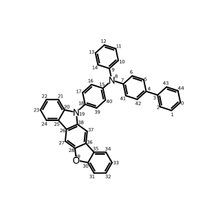 c1ccc(-c2ccc(N(c3ccccc3)c3ccc(-n4c5ccccc5c5cc6oc7ccccc7c6cc54)cc3)cc2)cc1